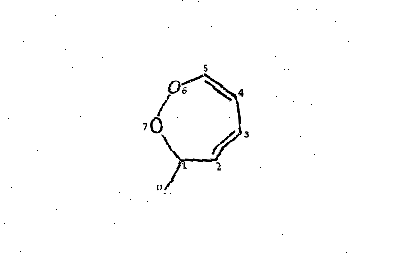 [CH2]C1C=CC=COO1